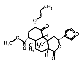 CCCO[C@H]1C[C@@H](C(=O)OC)[C@]2(C)CC[C@H]3C(=O)O[C@@H](c4ccoc4)C[C@]3(C)[C@H]2C1=O